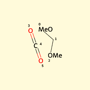 COCOC.O=C=O